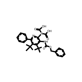 CC(C)(C)c1c(-c2ccccc2)nc(N(C(=O)O)C(=O)O)c(NC(=O)OCc2ccccc2)c1C(C)(C)C